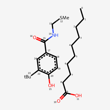 CCCCCCCCCC(=O)O.CSCNC(=O)c1ccc(O)c(C(C)(C)C)c1